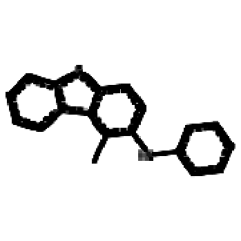 Cc1c(Nc2ccccc2)ccc2sc3ccccc3c12